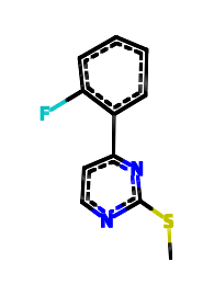 CSc1nccc(-c2ccccc2F)n1